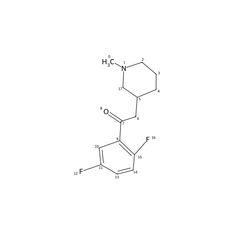 CN1CCCC(CC(=O)c2cc(F)ccc2F)C1